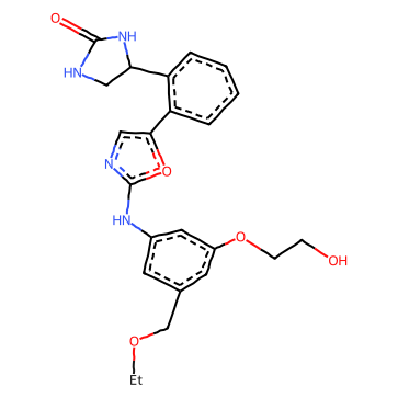 CCOCc1cc(Nc2ncc(-c3ccccc3C3CNC(=O)N3)o2)cc(OCCO)c1